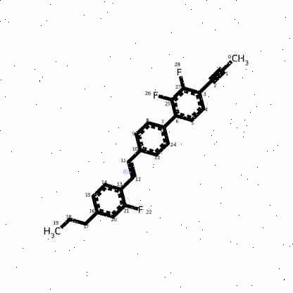 CC#Cc1ccc(-c2ccc(/C=C/c3ccc(CCC)cc3F)cc2)c(F)c1F